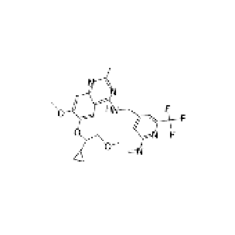 C=Nc1cc(CNc2nc(C)nc3cc(OC)c(OC(COC)C4CC4)cc23)cc(C(F)(F)F)n1